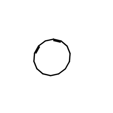 [C]1=CCCCCCCCCCC=CC1